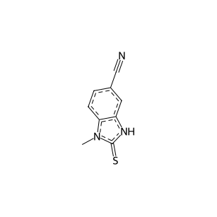 Cn1c(=S)[nH]c2cc(C#N)ccc21